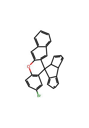 Brc1ccc2c(c1)C1(c3cc4ccccc4cc3O2)c2ccccc2C2C=CC=CC21